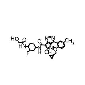 Cc1ccc(OCC2CC2)c(-c2ncnc3c(C(=O)NC4CCC(NC(=O)CO)C(F)C4)c(C)[nH]c23)c1